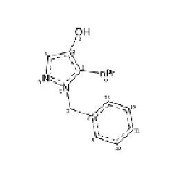 CCCc1c(O)cnn1Cc1ccccc1